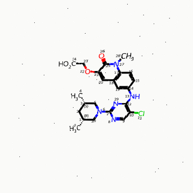 C[C@@H]1C[C@H](C)CN(c2ncc(Cl)c(Nc3ccc4c(c3)cc(OCC(=O)O)c(=O)n4C)n2)C1